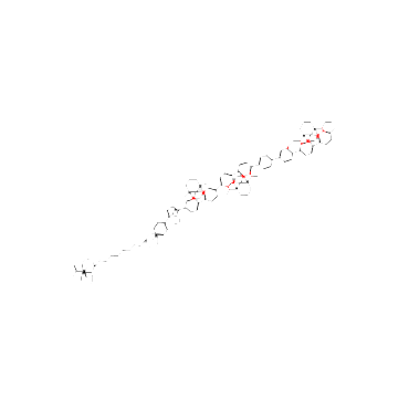 C=C(C)C(=O)OCCCCCCCCCCOc1ccc(-c2ccc(-c3ccc4c(c3)C3(c5cc(-c6ccc7c(c6)C6(c8cc(-c9ccc(-c%10ccc(-c%11ccc%12c(c%11)C%11(c%13cc(C)ccc%13-%12)C%12(CCC)CCCC%11(CCC)CCC%12)cc%10)cc9)ccc8-7)C7(CC)CCCC6(CC)CCC7)ccc5-4)C4(C)CCCC3(C)CCC4)s2)cc1